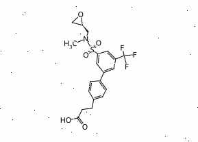 CN(C[C@H]1CO1)S(=O)(=O)c1cc(-c2ccc(CCC(=O)O)cc2)cc(C(F)(F)F)c1